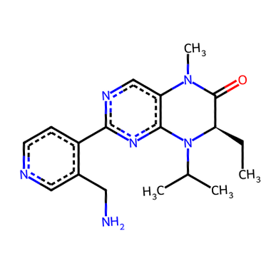 CC[C@@H]1C(=O)N(C)c2cnc(-c3ccncc3CN)nc2N1C(C)C